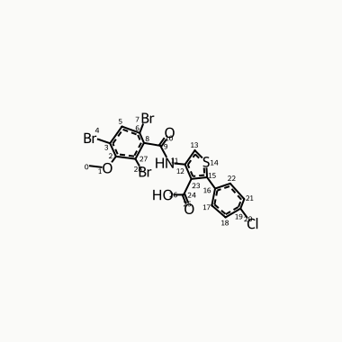 COc1c(Br)cc(Br)c(C(=O)Nc2csc(-c3ccc(Cl)cc3)c2C(=O)O)c1Br